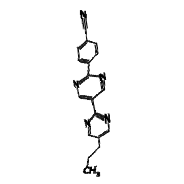 CCCc1cnc(-c2cnc(-c3ccc(C#N)cc3)nc2)nc1